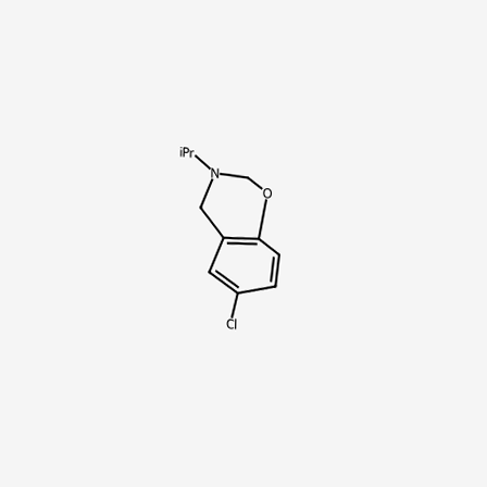 CC(C)N1COc2ccc(Cl)cc2C1